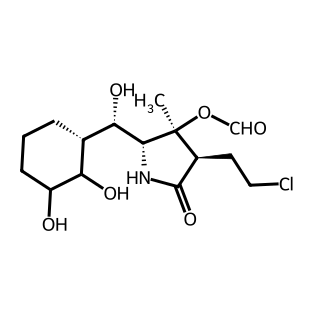 C[C@@]1(OC=O)[C@@H]([C@@H](O)[C@H]2CCCC(O)C2O)NC(=O)[C@@H]1CCCl